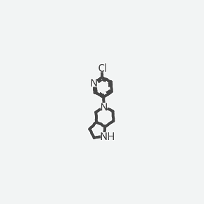 Clc1ccc(N2CCC3NCCC3C2)cn1